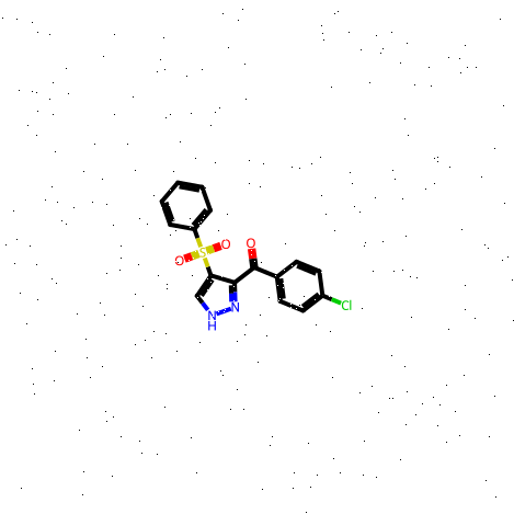 O=C(c1ccc(Cl)cc1)c1n[nH]cc1S(=O)(=O)c1ccccc1